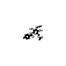 CC(=O)OC[C@H]1O[C@@H]([Se]C(=O)c2ccc(C)cc2)[C@H](O)[C@@H](N=[N+]=[N-])[C@H]1O